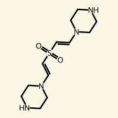 O=S(=O)(C=CN1CCNCC1)C=CN1CCNCC1